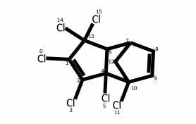 ClC1=C(Cl)C2(Cl)C(C3C=CC2(Cl)C3)C1(Cl)Cl